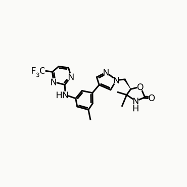 Cc1cc(Nc2nccc(C(F)(F)F)n2)cc(-c2cnn(C[C@H]3OC(=O)NC3(C)C)c2)c1